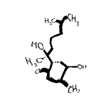 CC(C)=CCC[C@](C)(O)[C@@H]1C[C@@H](O)C(C)=CC1=O